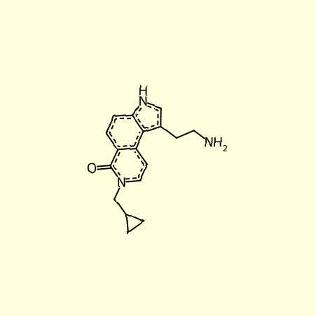 NCCc1c[nH]c2ccc3c(=O)n(CC4CC4)ccc3c12